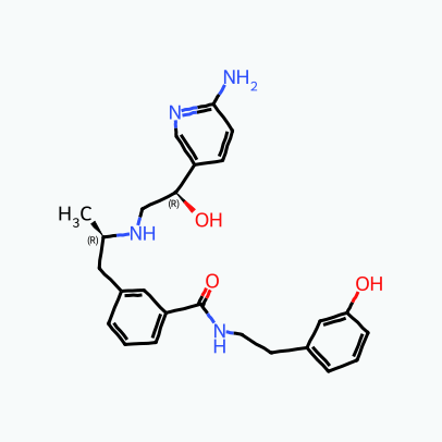 C[C@H](Cc1cccc(C(=O)NCCc2cccc(O)c2)c1)NC[C@H](O)c1ccc(N)nc1